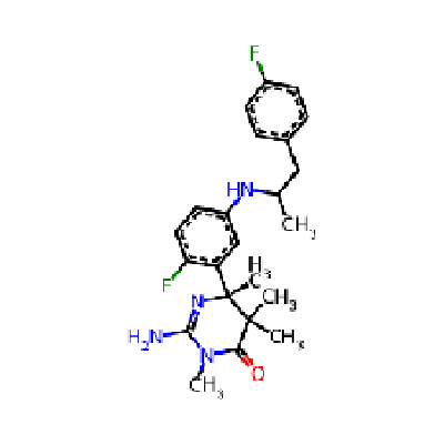 CC(Cc1ccc(F)cc1)Nc1ccc(F)c([C@@]2(C)N=C(N)N(C)C(=O)C2(C)C)c1